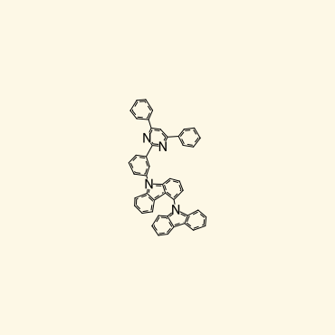 c1ccc(-c2cc(-c3ccccc3)nc(-c3cccc(-n4c5ccccc5c5c(-n6c7ccccc7c7ccccc76)cccc54)c3)n2)cc1